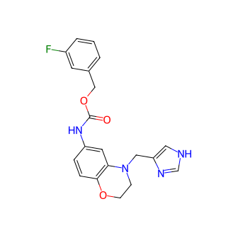 O=C(Nc1ccc2c(c1)N(Cc1c[nH]cn1)CCO2)OCc1cccc(F)c1